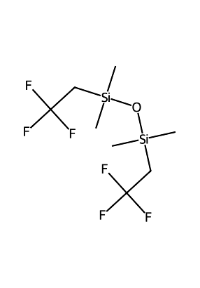 C[Si](C)(CC(F)(F)F)O[Si](C)(C)CC(F)(F)F